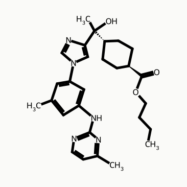 CCCCOC(=O)[C@H]1CC[C@H](C(C)(O)c2cn(-c3cc(C)cc(Nc4nccc(C)n4)c3)cn2)CC1